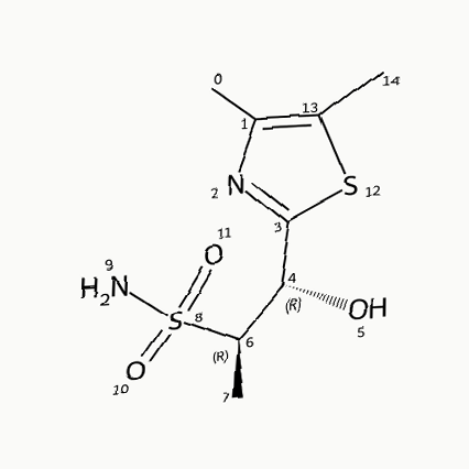 Cc1nc([C@H](O)[C@@H](C)S(N)(=O)=O)sc1C